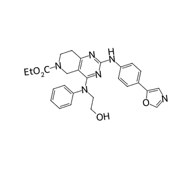 CCOC(=O)N1CCc2nc(Nc3ccc(-c4cnco4)cc3)nc(N(CCO)c3ccccc3)c2C1